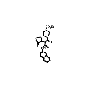 CCOC(=O)N1CCN(C(=O)C(C(=O)Nc2ccc3ccccc3c2)C2CCOC2=O)CC1